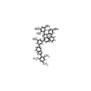 Cc1cc(C)c(-c2cc3cc(-c4cc(-c5cccc6c5nc(-c5cc(C(C)(C)C)cc(C(C)(C)C)c5O)n6-c5ccc(C(C)(C)C)cc5-c5ccccc5)cc(C(C)(C)C)c4)ncc3o2)c(C)c1